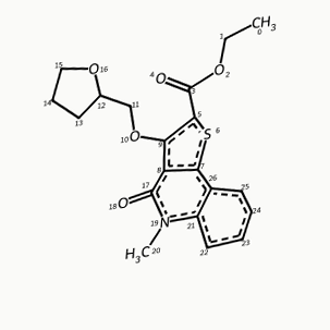 CCOC(=O)c1sc2c(c1OCC1CCCO1)c(=O)n(C)c1ccccc21